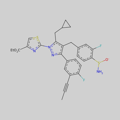 CC#Cc1cc(-c2nn(-c3nc(C(=O)OCC)cs3)c(CC3CC3)c2Cc2ccc([S+](N)[O-])c(F)c2)ccc1F